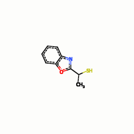 CC(S)c1nc2ccccc2o1